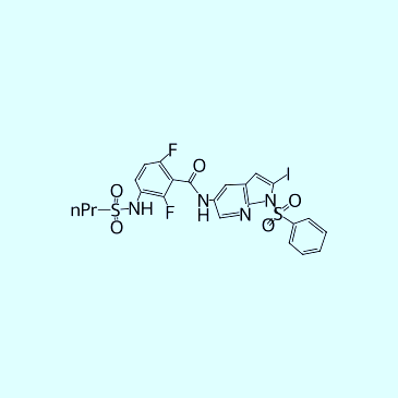 CCCS(=O)(=O)Nc1ccc(F)c(C(=O)Nc2cnc3c(c2)cc(I)n3S(=O)(=O)c2ccccc2)c1F